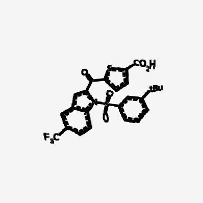 CC(C)(C)c1cccc(S(=O)(=O)n2c(C(=O)c3ccc(C(=O)O)s3)cc3cc(C(F)(F)F)ccc32)c1